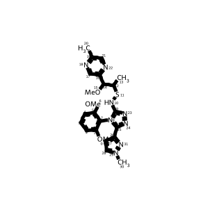 COc1cccc(OC)c1-n1c(NSC(C)C(OC)c2cnc(C)cn2)nnc1-c1ccn(C)n1